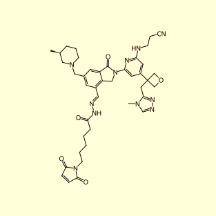 C[C@H]1CCCN(Cc2cc(C=NNC(=O)CCCCCN3C(=O)C=CC3=O)c3c(c2)C(=O)N(c2cc(C4(Cc5nncn5C)COC4)cc(NCCC#N)n2)C3)C1